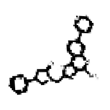 Nc1nc2cc(-c3cccnc3)ccc2c2[nH]c(CN3CC(c4cc#ccc4)CC3=O)nc12